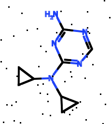 Nc1ncnc(N(C2CC2)C2CC2)n1